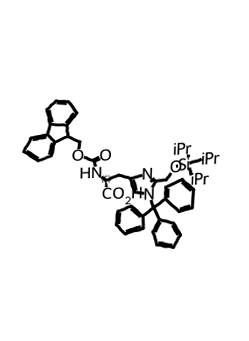 CC(C)[Si](OCc1nc(C[C@H](NC(=O)OCC2c3ccccc3-c3ccccc32)C(=O)O)cn1C(c1ccccc1)(c1ccccc1)c1ccccc1)(C(C)C)C(C)C